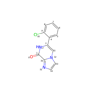 O=c1[nH]c(-c2ccccc2Cl)cn2ccnc12